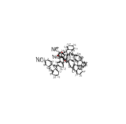 N#Cc1ccc2c(c1)Sc1ccccc1N2c1ccc2c(c1)c1cc(C#N)ccc1n2-c1ccc2c(c1)Oc1ccccc1C21c2cccnc2-c2ncc(-n3c4ccccc4c4cc(C#N)ccc43)cc21